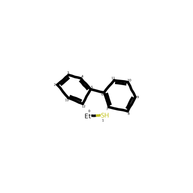 CCS.c1ccc(-c2ccccc2)cc1